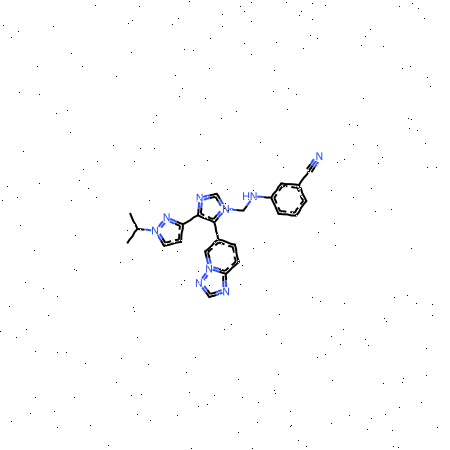 CC(C)n1ccc(-c2ncn(CNc3cccc(C#N)c3)c2-c2ccc3ncnn3c2)n1